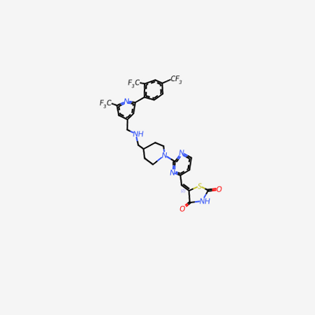 O=C1NC(=O)/C(=C/c2ccnc(N3CCC(CNCc4cc(-c5ccc(C(F)(F)F)cc5C(F)(F)F)nc(C(F)(F)F)c4)CC3)n2)S1